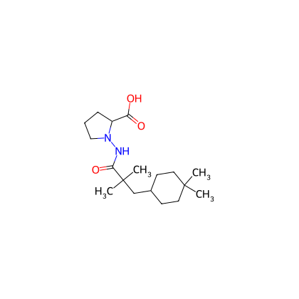 CC1(C)CCC(CC(C)(C)C(=O)NN2CCCC2C(=O)O)CC1